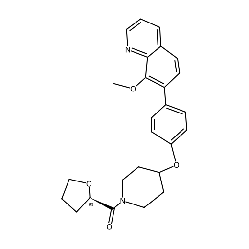 COc1c(-c2ccc(OC3CCN(C(=O)[C@H]4CCCO4)CC3)cc2)ccc2cccnc12